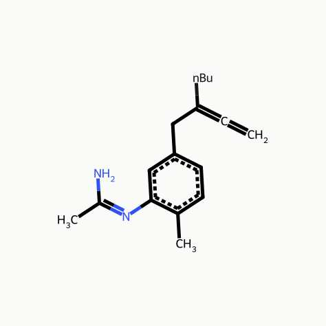 C=C=C(CCCC)Cc1ccc(C)c(/N=C(/C)N)c1